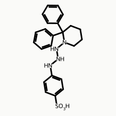 O=S(=O)(O)c1ccc(NNNN2CCCCC2(c2ccccc2)c2ccccc2)cc1